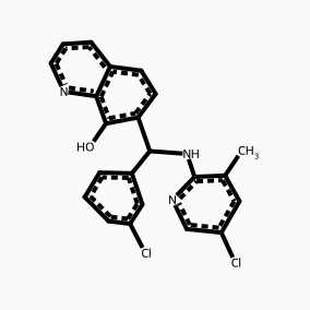 Cc1cc(Cl)cnc1NC(c1cccc(Cl)c1)c1ccc2cccnc2c1O